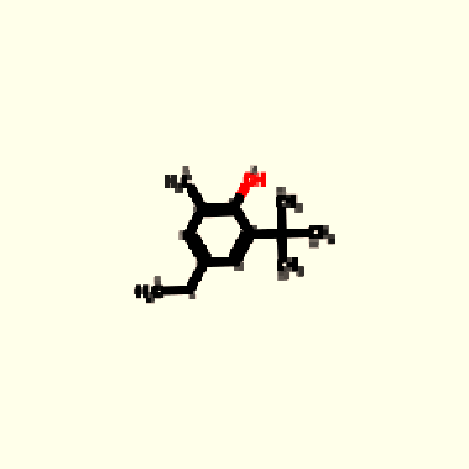 [CH2]Cc1cc(C)c(O)c(C(C)(C)C)c1